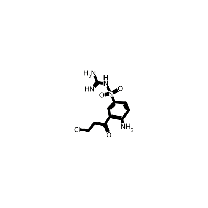 N=C(N)NS(=O)(=O)c1ccc(N)c(C(=O)CCCl)c1